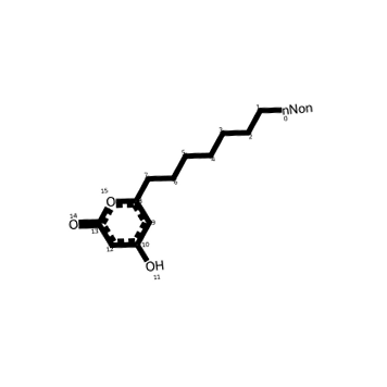 CCCCCCCCCCCCCCCCc1cc(O)cc(=O)o1